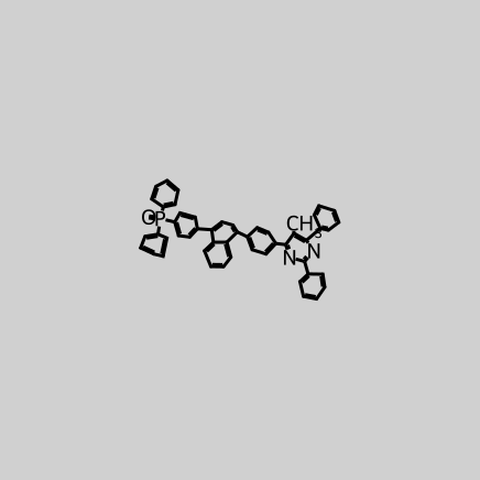 Cc1c(-c2ccccc2)nc(-c2ccccc2)nc1-c1ccc(-c2ccc(-c3ccc(P(=O)(c4ccccc4)c4ccccc4)cc3)c3ccccc23)cc1